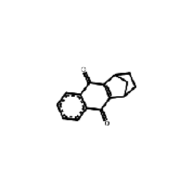 O=C1C2=C(C(=O)c3ccccc31)C1CCC2C1